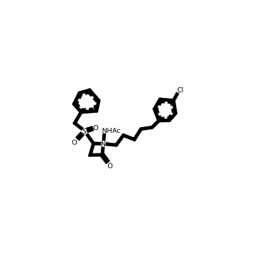 CC(=O)N[N+]1(CCCCCc2ccc(Cl)cc2)C(=O)CC1S(=O)(=O)Cc1ccccc1